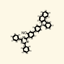 N#Cc1cc(-c2ccc(-n3c4ccccc4c4c5ccccc5ccc43)cc2)ccc1-c1nc(-c2ccccc2)nc(-c2ccccc2)n1